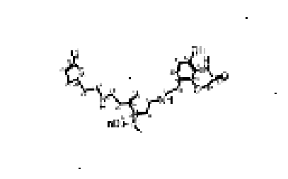 CCCC[C@@H](C)N(CCNCCc1ccc(O)c2c1OCC(=O)N2)C(=O)CCNCCC1CC=C(Cl)S1